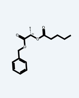 CCCCC(=O)O[C@@H](C)C(=O)OCc1ccccc1